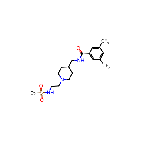 CCS(=O)(=O)NCCN1CCC(CNC(=O)c2cc(C(F)(F)F)cc(C(F)(F)F)c2)CC1